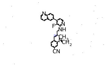 C=Nc1cc(C#N)ccc1/C=C(\C)CNc1nccc(-c2ccc3ncccc3c2)c1F